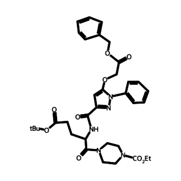 CCOC(=O)N1CCN(C(=O)C(CCC(=O)OC(C)(C)C)NC(=O)c2cc(OCC(=O)OCc3ccccc3)n(-c3ccccc3)n2)CC1